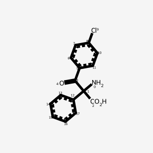 NC(C(=O)O)(C(=O)c1ccc(Cl)cc1)c1ccccc1